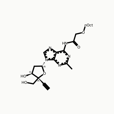 C#C[C@]1(CO)O[C@@H](n2cnc3c(NC(=O)COCCCCCCCC)nc(C)nc32)C[C@@H]1O